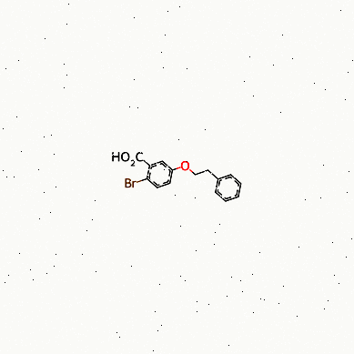 O=C(O)c1cc(OCCc2ccccc2)ccc1Br